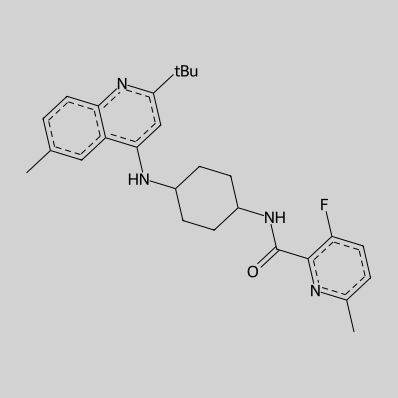 Cc1ccc2nc(C(C)(C)C)cc(NC3CCC(NC(=O)c4nc(C)ccc4F)CC3)c2c1